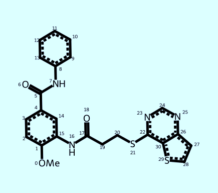 COc1ccc(C(=O)Nc2ccccc2)cc1NC(=O)CCSc1ncnc2ccsc12